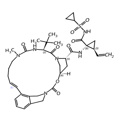 C=C[C@@H]1C[C@]1(NC(=O)[C@@H]1C[C@@H]2CN1C(=O)[C@H](C(C)(C)C)NC(=O)N(C)CCC/C=C/c1cccc3c1CN(C3)C(=O)O2)C(=O)NS(=O)(=O)C1CC1